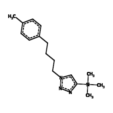 Cc1ccc(CCCCn2cc([Si](C)(C)C)nn2)cc1